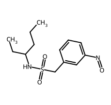 CCCC(CC)NS(=O)(=O)Cc1cccc(N=O)c1